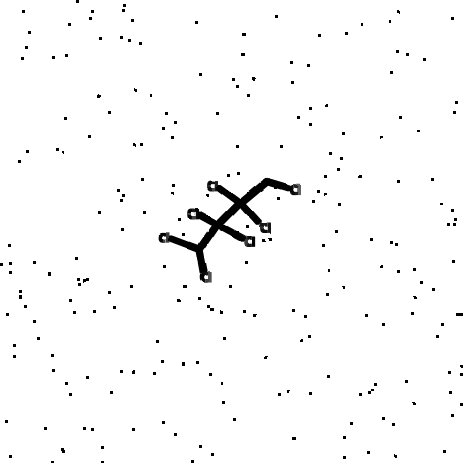 ClCC(Cl)(Cl)C(Cl)(Cl)C(Cl)Cl